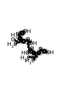 CCCCC(CC)Cn1c2ccc(C(=O)/C(CCCCC/C(=N\O)C(=O)c3ccc4c(c3)c3cc(C(=O)c5ccc(O)cc5)ccc3n4CC(CC)CCCC)=N/O)cc2c2cc(C(=O)c3ccc(O)cc3)ccc21